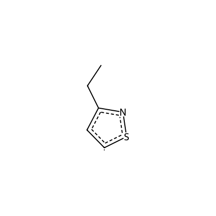 CCc1c[c]sn1